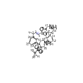 CC(/C=C/C(=O)OC1(c2ccccc2)CCNCC1)c1cccc(C2(OC(=O)C3(C)CC3)CCNCC2)c1